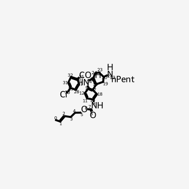 CC=CCCCOC(=O)Nc1ccc2[nH]c3c(c2c1)CC(NCCCCC)CC3.O=C(O)c1ccc(Cl)cc1